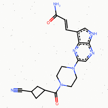 N#CC1CC(C(=O)N2CCN(c3cnc4[nH]cc(C=CC(N)=O)c4n3)CC2)C1